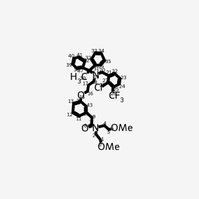 COCCN(CCOC)C(=O)Cc1cccc(OCCCN(Cc2cccc(C(F)(F)F)c2Cl)C(C)(c2ccccc2)c2ccccc2)c1